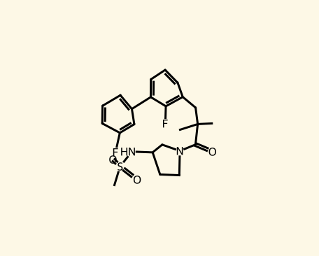 CC(C)(Cc1cccc(-c2cccc(F)c2)c1F)C(=O)N1CCC(NS(C)(=O)=O)C1